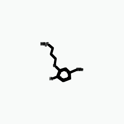 CSc1ccc(C(C)C)c(OCCCC(=O)O)c1